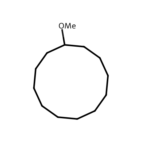 COC1CCCCCCCCCCC1